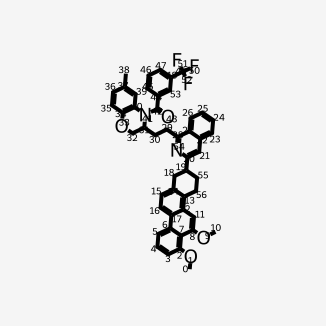 COc1cccc2c1c(OC)cc1c3c(ccc12)CC(c1cc2ccccc2c(CCC2COc4ccc(C)cc4N2C(=O)c2cccc(C(F)(F)F)c2)n1)CC3